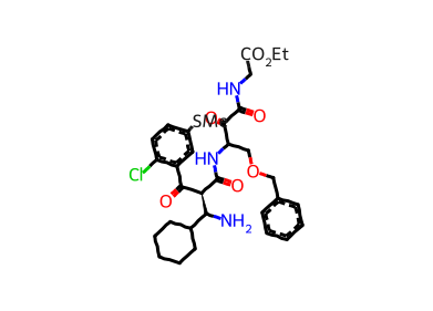 CCOC(=O)CNC(=O)C(=O)C(COCc1ccccc1)NC(=O)[C@H](C(=O)c1cc(SC)ccc1Cl)C(N)C1CCCCC1